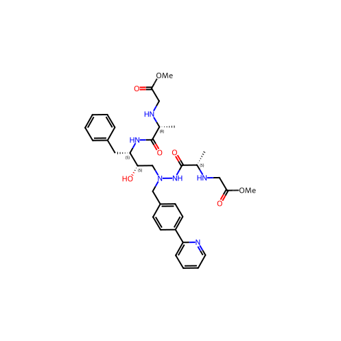 COC(=O)CN[C@@H](C)C(=O)NN(Cc1ccc(-c2ccccn2)cc1)C[C@H](O)[C@H](Cc1ccccc1)NC(=O)[C@@H](C)NCC(=O)OC